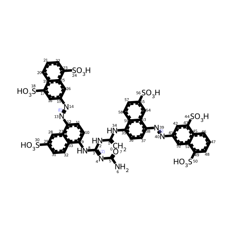 C=C(N/C(=N\C(N)=O)Nc1ccc(/N=N/c2cc(S(=O)(=O)O)c3cccc(S(=O)(=O)O)c3c2)c2cc(S(=O)(=O)O)ccc12)Nc1ccc(/N=N/c2cc(S(=O)(=O)O)c3cccc(S(=O)(=O)O)c3c2)c2cc(S(=O)(=O)O)ccc12